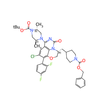 C[C@@H]1CN(c2nc(=O)n3c4c(c(-c5ccc(F)cc5F)c(Cl)cc24)OC[C@H]3CC2CCN(C(=O)OCc3ccccc3)CC2)[C@@H](C)CN1C(=O)OC(C)(C)C